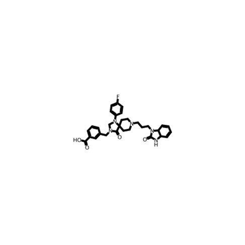 O=C(O)c1cccc(CN2CN(c3ccc(F)cc3)C3(CCN(CCCN4C(=O)NC5C=CC=CC54)CC3)C2=O)c1